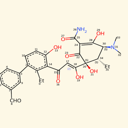 CCc1c(-c2cccc(C=O)c2)ccc(O)c1C(=O)/C=C(\O)[C@]1(O)C(=O)C(C(N)=O)=C(O)[C@@H](N(C)C)[C@@H]1CC